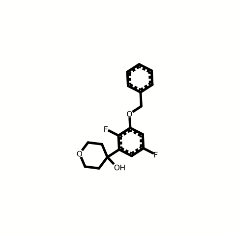 OC1(c2cc(F)cc(OCc3ccccc3)c2F)CCOCC1